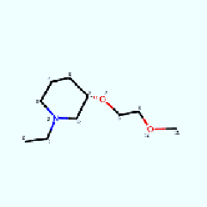 CCN1CCC[C@H](OCCOC)C1